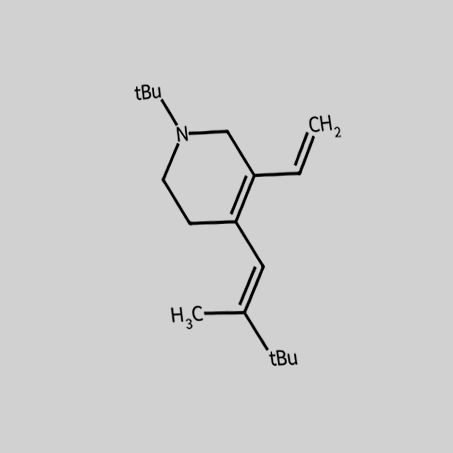 C=CC1=C(/C=C(\C)C(C)(C)C)CCN(C(C)(C)C)C1